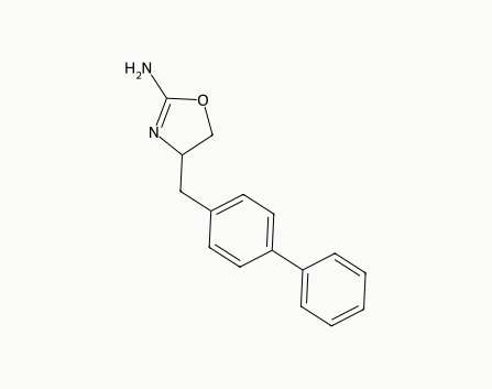 NC1=NC(Cc2ccc(-c3ccccc3)cc2)CO1